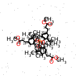 COC(=O)CCc1cc(C)c(OP(Oc2c(C)cc(CCC(=O)OC)cc2C(C)(C)C)Oc2c(C)cc(CCC(=O)OC)cc2C(C)(C)C)c(C(C)(C)C)c1